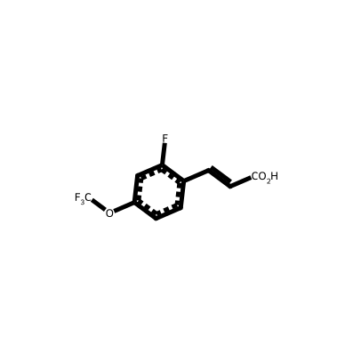 O=C(O)/C=C/c1ccc(OC(F)(F)F)cc1F